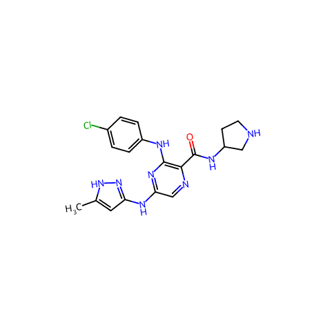 Cc1cc(Nc2cnc(C(=O)NC3CCNC3)c(Nc3ccc(Cl)cc3)n2)n[nH]1